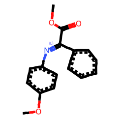 COC(=O)/C(=N/c1ccc(OC)cc1)c1ccccc1